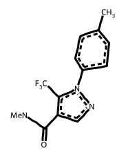 CNC(=O)c1cnn(-c2ccc(C)cc2)c1C(F)(F)F